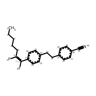 CCCCC/C(F)=C(/F)c1ccc(CCc2ccc(C#N)cc2)cc1